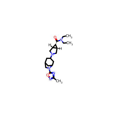 CCN(CC)C(=O)[C@@H]1[C@@H]2CN(C3CC4CC(C3)N(c3nc(C)no3)C4)C[C@@H]21